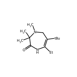 CCC1=C(C(C)(C)C)CN(C)C(C)(C)C(=O)N1